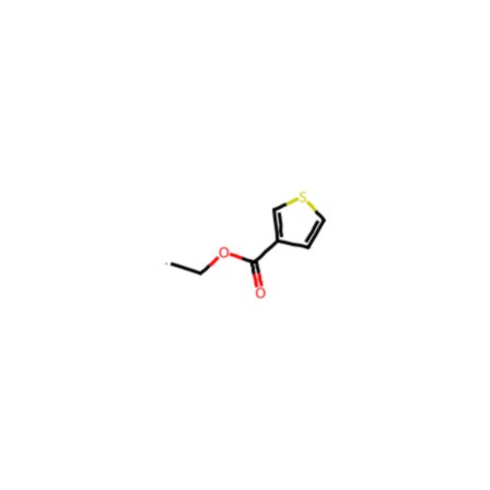 [CH2]COC(=O)c1ccsc1